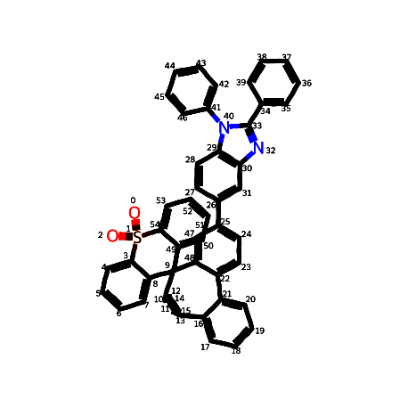 O=S1(=O)c2ccccc2C2(c3ccccc3-c3ccccc3-c3ccc(-c4ccc5c(c4)nc(-c4ccccc4)n5-c4ccccc4)cc32)c2ccccc21